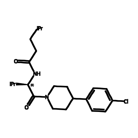 CC(C)CCC(=O)N[C@@H](C(=O)N1CCC(c2ccc(Cl)cc2)CC1)C(C)C